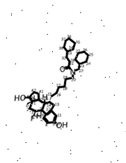 C[C@]12C[C@H](F)[C@@H]3c4ccc(O)cc4C[C@@H](CCCCCCN(CC4CCCCC4)C(=O)CCC4CCCCC4)[C@H]3[C@@H]1CC[C@@H]2O